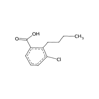 CCCCc1c(Cl)cccc1C(=O)O